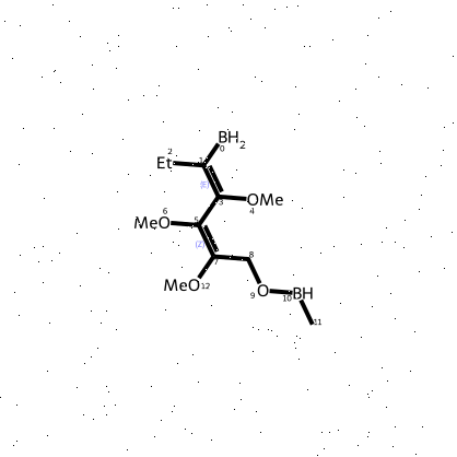 B/C(CC)=C(OC)/C(OC)=C(\COBC)OC